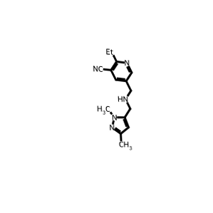 CCc1ncc(CNCc2cc(C)nn2C)cc1C#N